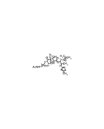 CCC[C@H](C)[C@H](O)[C@@H](CCCCNC(C)=O)C(=O)C(C)(C)[C@@H](O)CC(=O)O[C@@H](C[C@@H]1OC1(C)C)/C(C)=C/c1csc(C)n1